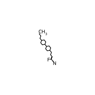 CCCCC1CCC(C2CCC(CCC=C(F)C#N)CC2)CC1